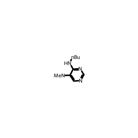 CCCCNc1ncncc1NC